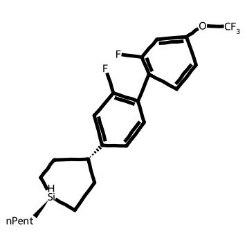 CCCCC[Si@H]1CC[C@H](c2ccc(-c3ccc(OC(F)(F)F)cc3F)c(F)c2)CC1